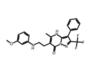 COc1cccc(NCCc2c(C)[nH]c3c(-c4ccccc4)c(C(F)(F)F)nn3c2=O)c1